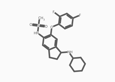 CS(=O)(=O)Nc1cc2c(cc1Oc1ccc(F)cc1F)C(NC1CCCCC1)CC2